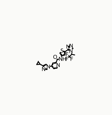 CC(n1cnnc1-c1cc(NC(=O)c2cc(-n3cnc(C4CC4)c3)ccn2)cs1)C(F)(F)F